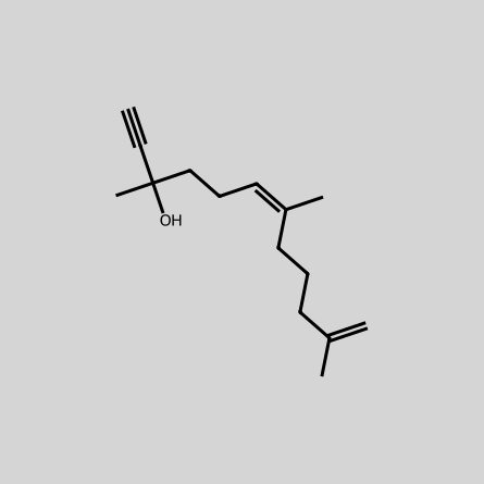 C#CC(C)(O)CCC=C(C)CCCC(=C)C